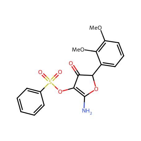 COc1cccc(C2OC(N)=C(OS(=O)(=O)c3ccccc3)C2=O)c1OC